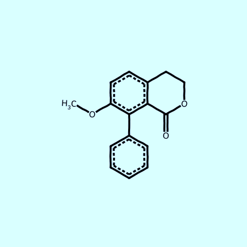 COc1ccc2c(c1-c1ccccc1)C(=O)OCC2